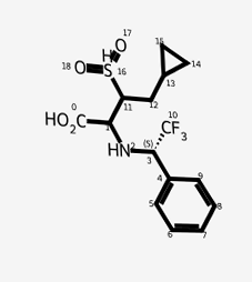 O=C(O)C(N[C@@H](c1ccccc1)C(F)(F)F)C(CC1CC1)[SH](=O)=O